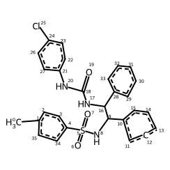 Cc1ccc(S(=O)(=O)NC(c2ccccc2)C(NC(=O)Nc2ccc(Cl)cc2)c2ccccc2)cc1